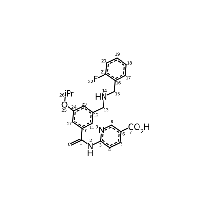 C=C(Nc1ccc(C(=O)O)cn1)c1cc(CNCc2ccccc2F)cc(OC(C)C)c1